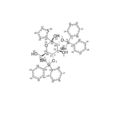 CC(C)(C)[Si](O[C@H]1[C@H](O)[C@@H](O[Si](c2ccccc2)(c2ccccc2)C(C)(C)C)[C@@](O)(c2cccs2)O[C@@H]1CO)(c1ccccc1)c1ccccc1